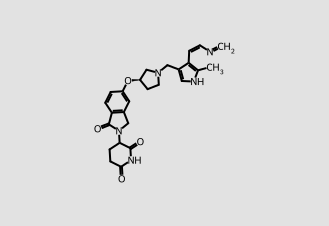 C=N/C=C\c1c(CN2CC[C@@H](Oc3ccc4c(c3)CN(C3CCC(=O)NC3=O)C4=O)C2)c[nH]c1C